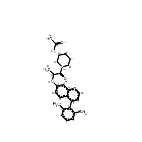 Cc1cccc(C)c1-c1ccnc2cc(OC(C)C(=O)N3CCC[C@@H](CC(=O)O)C3)ccc12